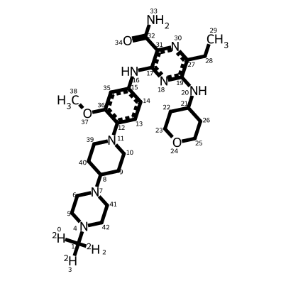 [2H]C([2H])([2H])N1CCN(C2CCN(c3ccc(Nc4nc(NC5CCOCC5)c(CC)nc4C(N)=O)cc3OC)CC2)CC1